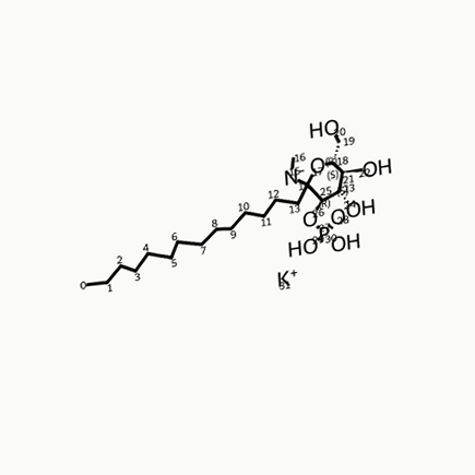 CCCCCCCCCCCCCCC1([N-]C)O[C@H](CO)[C@@H](O)[C@H](O)[C@H]1OP(=O)(O)O.[K+]